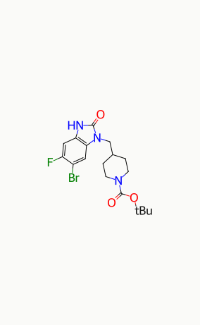 CC(C)(C)OC(=O)N1CCC(Cn2c(=O)[nH]c3cc(F)c(Br)cc32)CC1